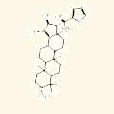 CC(C)C1=C2C3CCC4C5(C)CC[C@H](O)C(C)(C)C5CC[C@@]4(C)[C@]3(C)CC[C@@]2(NC(=O)c2cccs2)CC1=O